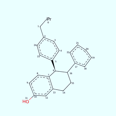 CC(C)Cc1ccc([C@@H]2c3ccc(O)cc3CCC2c2ccccc2)cc1